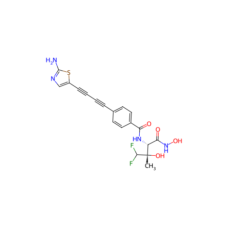 C[C@@](O)(C(F)F)[C@H](NC(=O)c1ccc(C#CC#Cc2cnc(N)s2)cc1)C(=O)NO